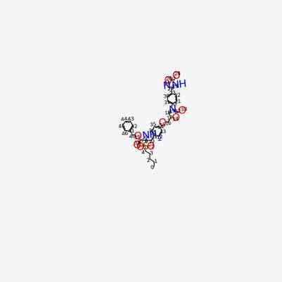 CCCCCS(=O)(=O)C(N)(Cc1ccc(OCC2CN(c3ccc(-c4noc(=O)[nH]4)cc3)C(=O)O2)cc1)C(=O)OCc1ccccc1